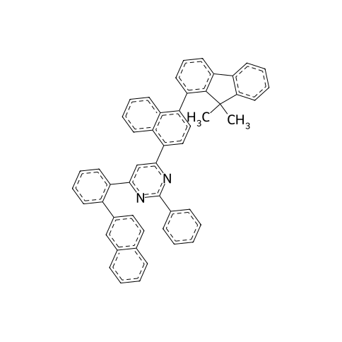 CC1(C)c2ccccc2-c2cccc(-c3ccc(-c4cc(-c5ccccc5-c5ccc6ccccc6c5)nc(-c5ccccc5)n4)c4ccccc34)c21